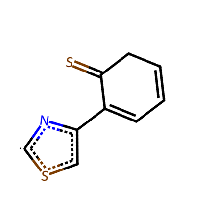 S=C1CC=CC=C1c1cs[c]n1